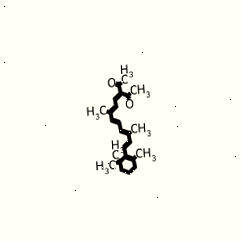 CC(=O)C(=CC=C(C)C=CC=C(C)C=CC1=C(C)CCCC1(C)C)C(C)=O